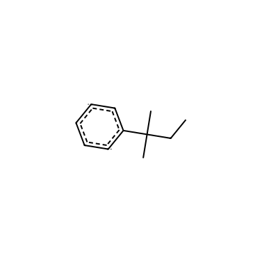 CCC(C)(C)c1[c]cc[c]c1